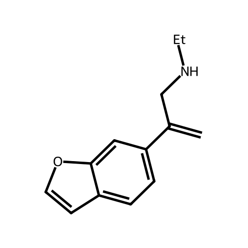 C=C(CNCC)c1ccc2ccoc2c1